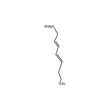 CCCCCCCCC=CC=CCCOC(C)=O